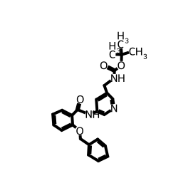 CC(C)(C)OC(=O)NCc1cncc(NC(=O)c2ccccc2OCc2ccccc2)c1